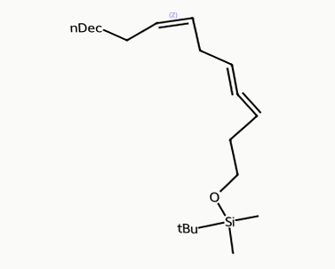 CCCCCCCCCCC/C=C\CC=C=CCCO[Si](C)(C)C(C)(C)C